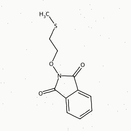 CSCCON1C(=O)c2ccccc2C1=O